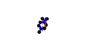 c1ccc(-c2cc(-c3ccccc3)nc(-c3cccc(-c4cccc(-c5nc(-c6ccccc6)c6c7ccccc7n(-c7ccccc7)c6n5)c4)c3)n2)cc1